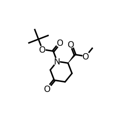 COC(=O)[C@H]1CCC(=O)CN1C(=O)OC(C)(C)C